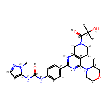 CC1COCCN1c1nc(-c2ccc(NC(=O)Nc3ccnn3C)cc2)nc2c1CCN(C(=O)C(C)(C)O)C2